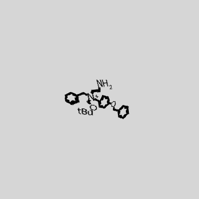 CC(C)(C)OC[N+](CCN)(Cc1ccccc1)c1ccc(OCc2ccccc2)cc1